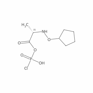 C[C@H](NOC1CCCC1)C(=O)OP(=O)(O)Cl